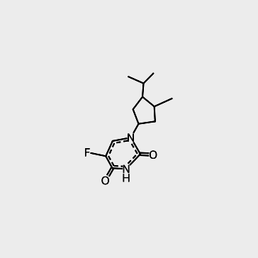 CC(C)C1CC(n2cc(F)c(=O)[nH]c2=O)CC1C